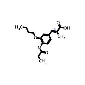 CCCCOc1cc(/C=C(\C)C(=O)O)ccc1OC(=O)CC